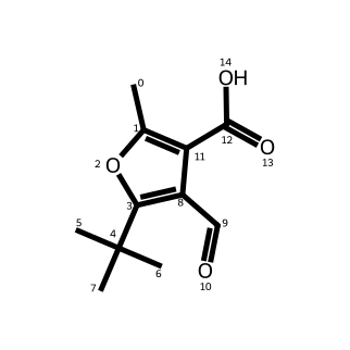 Cc1oc(C(C)(C)C)c(C=O)c1C(=O)O